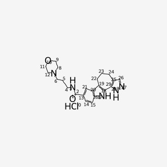 Cl.O=C(NCCCN1CCOCC1)c1ccc2[nH]c3c(c2c1)CCCc1cn[nH]c1-3